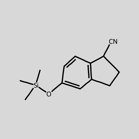 C[Si](C)(C)Oc1ccc2c(c1)CCC2C#N